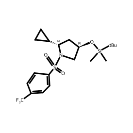 CC(C)(C)[Si](C)(C)O[C@@H]1C[C@@H](C2CC2)N(S(=O)(=O)c2ccc(C(F)(F)F)cc2)C1